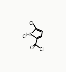 O=C(Cl)C1=CC=C(Cl)[SH]1Cl